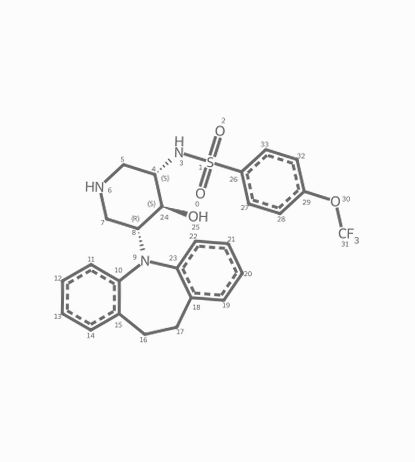 O=S(=O)(N[C@H]1CNC[C@@H](N2c3ccccc3CCc3ccccc32)[C@@H]1O)c1ccc(OC(F)(F)F)cc1